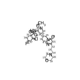 COc1ncc(-c2ccc3nc(CCCN4CCOCC4)cc(=O)n3c2)cc1NS(=O)(=O)c1ccc(F)cc1Cl